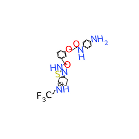 Nc1ccc(NC(=O)COc2cccc(C(=O)Nc3nc4c(s3)C[C@@H](NCCC(F)(F)F)CC4)c2)cc1